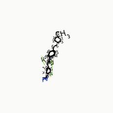 C[C@H]1CC[C@H](CCc2ccc(C(F)=C(F)c3ccc(C#N)c(F)c3)cc2)CC1